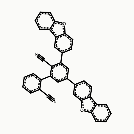 N#Cc1ccccc1-c1cc(-c2ccc3c(c2)oc2ccccc23)cc(-c2ccc3oc4ccccc4c3c2)c1C#N